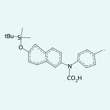 [CH2]c1ccc(N(C(=O)O)c2ccc3cc(O[Si](C)(C)C(C)(C)C)ccc3c2)cc1